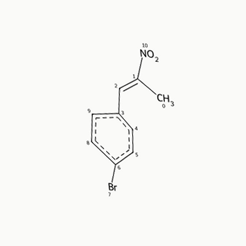 CC(=Cc1ccc(Br)cc1)[N+](=O)[O-]